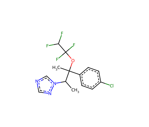 CC(n1cncn1)C(C)(OC(F)(F)C(F)F)c1ccc(Cl)cc1